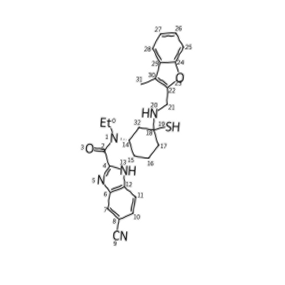 CCN(C(=O)c1nc2cc(C#N)ccc2[nH]1)[C@H]1CCCC(S)(NCc2oc3ccccc3c2C)C1